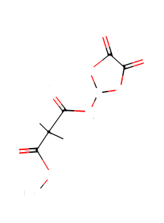 COC(=O)C(C)(C)C(=O)OB1OC(=O)C(=O)O1